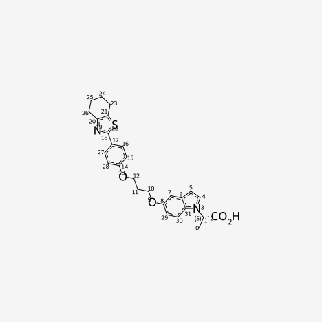 C[C@@H](C(=O)O)n1ccc2cc(OCCCOc3ccc(-c4nc5c(s4)CCCC5)cc3)ccc21